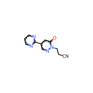 N#CCCn1ncc(-c2ncccn2)cc1=O